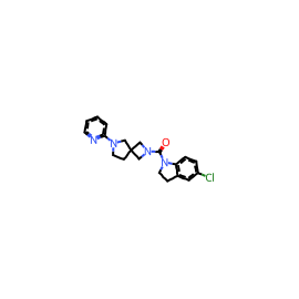 O=C(N1CC2(CCN(c3ccccn3)C2)C1)N1CCc2cc(Cl)ccc21